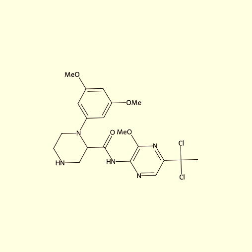 COc1cc(OC)cc(N2CCNCC2C(=O)Nc2ncc(C(C)(Cl)Cl)nc2OC)c1